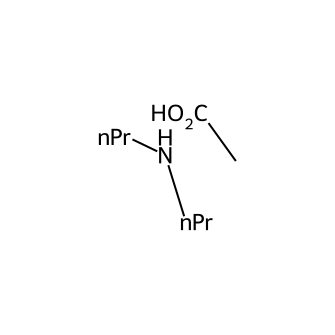 CC(=O)O.CCCNCCC